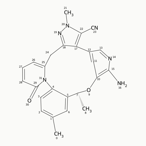 Cc1ccc2c(c1)[C@@H](C)Oc1cc(cnc1N)-c1c(nn(C)c1C#N)Cc1cccc(=O)n1-2